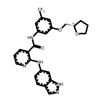 O=C(Nc1cc(OC[C@@H]2CCCO2)cc(C(F)(F)F)c1)c1cccnc1Nc1ccc2cn[nH]c2c1